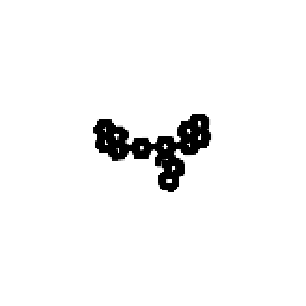 c1ccc2c(c1)ccc1c2oc2c(-c3ccc(-c4ccc5ccc6cccc7ccc4c5c67)cc3)ccc(-c3ccc4ccc5cccc6ccc3c4c56)c21